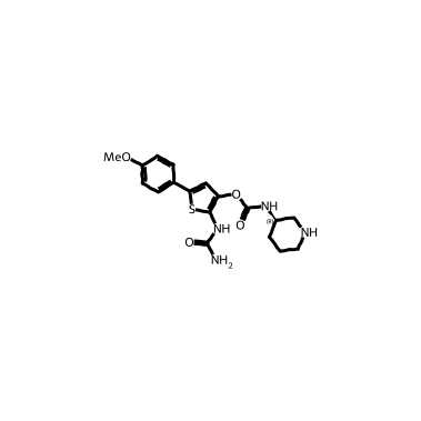 COc1ccc(-c2cc(OC(=O)N[C@@H]3CCCNC3)c(NC(N)=O)s2)cc1